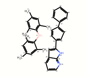 Cc1cc(C)c(Bc2c(C)cc(C)cc2C)c(C)c1.c1ccc(-c2ccc(-c3cc4cccnc4[nH]3)cc2)cc1